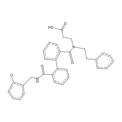 O=C(O)CCN(CCc1ccccc1)C(=O)c1ccccc1-c1ccccc1C(=O)NCc1ccccc1Cl